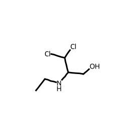 CCNC(CO)C(Cl)Cl